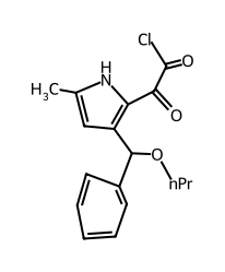 CCCOC(c1ccccc1)c1cc(C)[nH]c1C(=O)C(=O)Cl